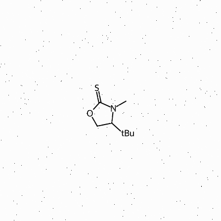 CN1C(=S)OCC1C(C)(C)C